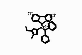 CCC1=C(C)C=[C]([Zr+2](=[C](c2ccccc2)c2ccccc2)[CH]2c3ccccc3-c3ccccc32)C1.[Cl-].[Cl-]